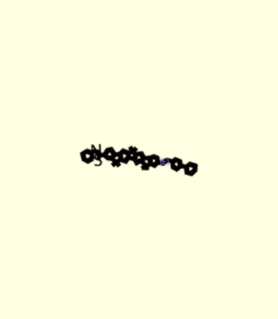 CC1(C)c2cc(/C=C/c3ccc(-c4ccccc4)cc3)ccc2-c2cc3c(cc21)-c1cc2c(cc1C3(C)C)-c1ccc(-c3nc4ccccc4s3)cc1C2(C)C